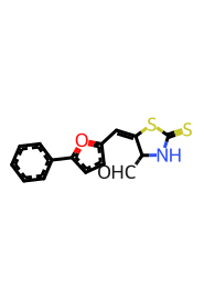 O=CC1NC(=S)SC1=Cc1ccc(-c2ccccc2)o1